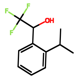 CC(C)c1ccccc1C(O)C(F)(F)F